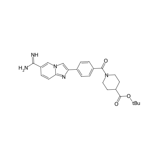 CC(C)(C)OC(=O)C1CCN(C(=O)c2ccc(-c3cn4cc(C(=N)N)ccc4n3)cc2)CC1